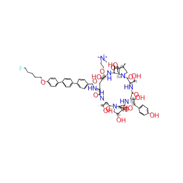 C[C@@H](O)[C@@H]1NC(=O)[C@H]([C@H](O)[C@@H](O)c2ccc(O)cc2)NC(=O)[C@@H]2C[C@@H](O)CN2C(=O)[C@H]([C@@H](C)O)NC(=O)[C@@H](NC(=O)c2ccc(-c3ccc(-c4ccc(OCCCCCF)cc4)cc3)cc2)C[C@@H](O)[C@@H](OCC[N+](C)(C)C)NC(=O)[C@@H]2[C@@H](O)[C@@H](C)CN2C1=O